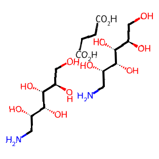 NC[C@H](O)[C@@H](O)[C@H](O)[C@H](O)CO.NC[C@H](O)[C@@H](O)[C@H](O)[C@H](O)CO.O=C(O)CCC(=O)O